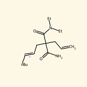 C=CCC(C/C=C/CCCC)(C(N)=O)C(=O)N(CC)CC